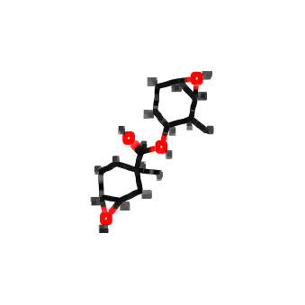 CC1C(OC(=O)C2(C)CCC3OC3C2)CCC2OC21